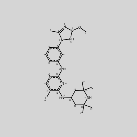 CON1N=C(C)N(c2cccc(Nc3ncc(F)c(NC4CC(C)(C)NC(C)(C)C4)n3)c2)N1